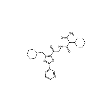 NC(=O)C(C(=O)NCC(=O)c1oc(-c2cccnc2)nc1CC1CCCCC1)C1CCCCC1